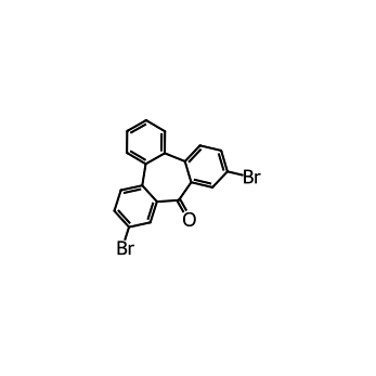 O=c1c2cc(Br)ccc2c2ccccc2c2ccc(Br)cc12